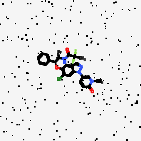 CC(C)C(NC(=O)C(C)(F)F)[C@H](Oc1cc2cnn(-c3ccc(=O)n(C)c3)c2cc1Cl)c1ccccc1